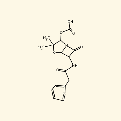 CC1(C)SC2C(NC(=O)Cc3ccccc3)C(=O)N2C1OC(=O)O